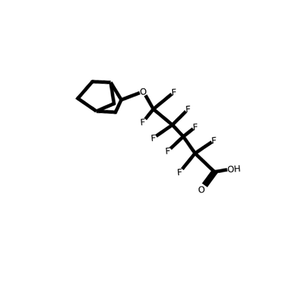 O=C(O)C(F)(F)C(F)(F)C(F)(F)C(F)(F)OC1CC2CCC1C2